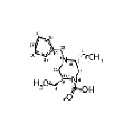 CC[C@@H]1CN(C(=O)O)[C@@H](CC)CN1Cc1ccccc1